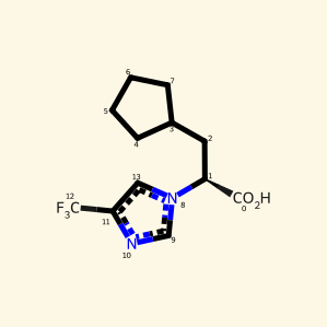 O=C(O)[C@H](CC1CCCC1)n1cnc(C(F)(F)F)c1